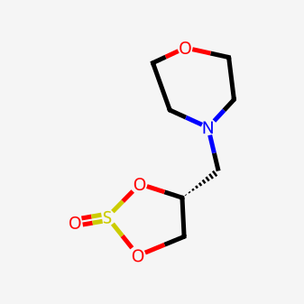 O=S1OC[C@@H](CN2CCOCC2)O1